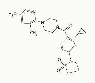 Cc1cnc(N2CCN(C(=O)c3ccc(N4CCCS4(=O)=O)cc3C3CC3)CC2)c(C)c1